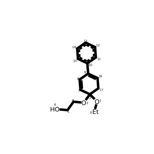 CCOC1(OCCO)C=CC(c2ccccc2)=CC1